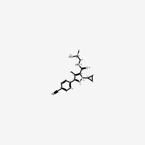 Cc1c(-c2ccc(C#N)cc2)nn(C2CC2)c1C(=O)NC[C@H](C)O